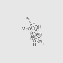 COc1c(CNCCC(C)C)cc(O)c2c1C[C@H]1C[C@H]3[C@H](N(C)C)C(O)=C(C(N)=O)C(=O)[C@@]3(O)C(O)=C1C2=O